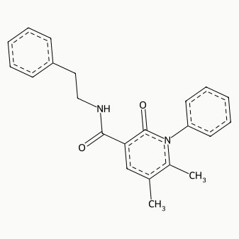 Cc1cc(C(=O)NCCc2ccccc2)c(=O)n(-c2ccccc2)c1C